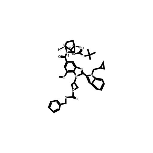 COc1cc(C(=O)N2C[C@H]3CC[C@@H]2[C@@H]3NC(=O)OC(C)(C)C)cc2nc(-c3cc4ccccc4n3CC3CC3)n(C3CN(C(=O)OCc4ccccc4)C3)c12